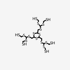 SCSC(SCS)SC[C]1SC(CSC(SCS)SCS)SC(CSC(SCS)SCS)S1